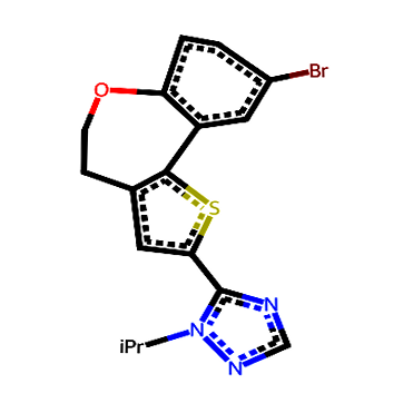 CC(C)n1ncnc1-c1cc2c(s1)-c1cc(Br)ccc1OCC2